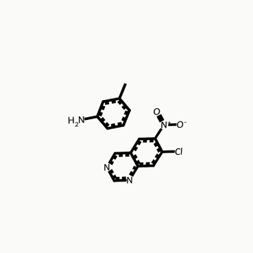 Cc1cccc(N)c1.O=[N+]([O-])c1cc2cncnc2cc1Cl